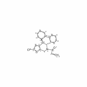 C=CC(=O)N1Cc2sc(Cl)cc2[C@@H](c2ccccc2-c2ccccc2)C1